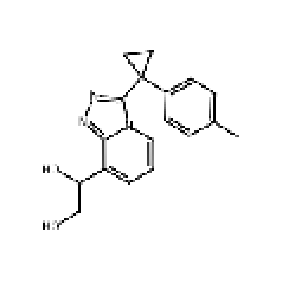 Cc1ccc(C2(c3nnc4c(C(O)CO)cccn34)CC2)cc1